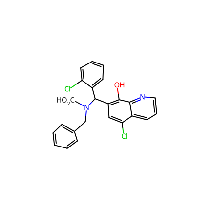 O=C(O)N(Cc1ccccc1)C(c1ccccc1Cl)c1cc(Cl)c2cccnc2c1O